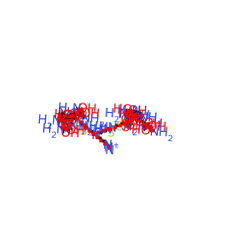 COC(CSCCNC(=S)NCCCCN(CCCCCN=[N+]=[N-])CCCNC(=S)NCCSCC1O[C@@H](OC2[C@H](O[C@@H]3OC(CN)[C@@H](O)[C@H](O)C3N)C(N)C[C@@H](N)[C@H]2O)[C@@H](O)[C@H]1O[C@H]1OC(CN)[C@@H](O)C(O)[C@H]1N)[C@H](O[C@H]1OC(CN)[C@@H](O)[C@@H](O)C1N)[C@H](O)COC1[C@H](OCC(N)[C@@H](O)[C@H](O)C(O)CN)C(N)C[C@@H](N)[C@H]1O